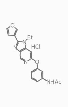 CCn1c(-c2ccoc2)nc2cnc(Oc3cccc(NC(C)=O)c3)cc21.Cl